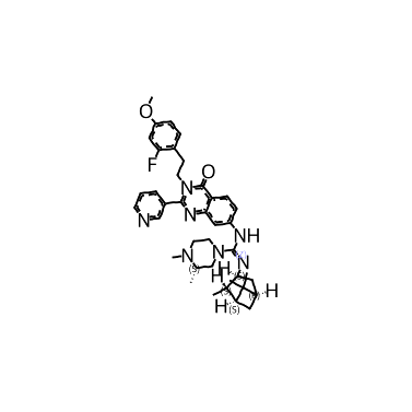 COc1ccc(CCn2c(-c3cccnc3)nc3cc(N/C(=N/[C@H]4C[C@H]5C[C@@H]([C@@H]4C)C5(C)C)N4CCN(C)[C@@H](C)C4)ccc3c2=O)c(F)c1